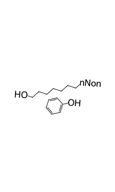 CCCCCCCCCCCCCCCCO.Oc1ccccc1